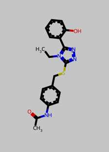 CCn1c(SCc2ccc(NC(C)=O)cc2)nnc1-c1ccccc1O